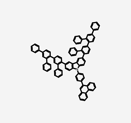 c1ccc(-c2ccc(-c3ccc(-c4ccc5c(c4)c4cc(-c6ccc(-c7ccc(-c8ccccc8)cc7-c7ccccc7)cc6-c6ccccc6)ccc4n5-c4ccc(-c5cc6ccccc6c6ccccc56)cc4)c(-c4ccccc4)c3)c(-c3ccccc3)c2)cc1